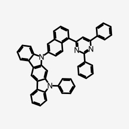 c1ccc(-c2cc(-c3cccc4cc(-n5c6ccccc6c6cc7c8ccccc8n(-c8ccccc8)c7cc65)ccc34)nc(-c3ccccc3)n2)cc1